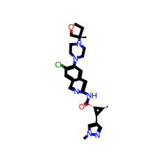 C[C@H]1[C@@H](C(=O)Nc2cc3cc(N4CCN([C@@]5(C)CCOC5)CC4)c(Cl)cc3cn2)[C@@H]1c1cnn(C)c1